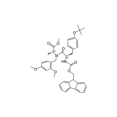 COC(=O)[C@H](C)N(Cc1ccc(OC)cc1OC)C(=O)[C@@H](Cc1ccc(OC(C)(C)C)cc1)NC(=O)OCC1c2ccccc2-c2ccccc21